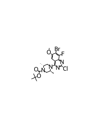 COc1cc2c(N3C[C@@H](C)N(C(=O)OC(C)(C)C)C[C@@H]3C)nc(Cl)nc2c(F)c1Br